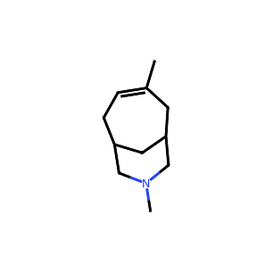 CC1=CCC2CC(C1)CN(C)C2